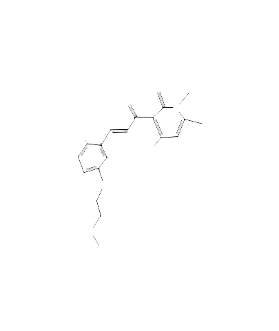 CSCCOc1cccc(C=CC(=O)c2c(O)cc(C)n(C)c2=O)c1